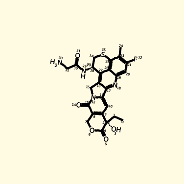 CC[C@@]1(O)C(=O)OCc2c1cc1n(c2=O)Cc2c-1nc1cc(F)c(C)c3c1c2[C@@H](NC(=O)CN)CS3